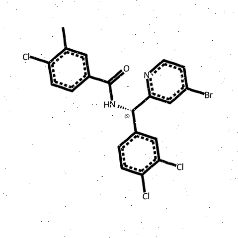 Cc1cc(C(=O)N[C@@H](c2ccc(Cl)c(Cl)c2)c2cc(Br)ccn2)ccc1Cl